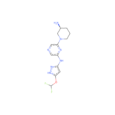 N[C@H]1CCCN(c2cncc(Nc3cc(OC(F)F)[nH]n3)n2)C1